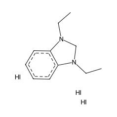 CCN1CN(CC)c2ccccc21.I.I.I